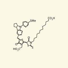 CSc1ccc(N2c3ccc(/C=c4\s/c(=C5/SC(=S)N(CCCCCCCCCCCC(=O)O)C5=O)n(CC(=O)O)c4=O)cc3C3CCCC32)cc1